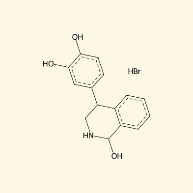 Br.Oc1ccc(C2CNC(O)c3ccccc32)cc1O